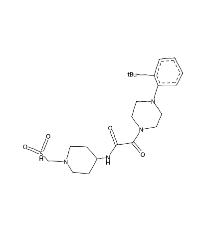 CC(C)(C)c1ccccc1N1CCN(C(=O)C(=O)NC2CCN(C[SH](=O)=O)CC2)CC1